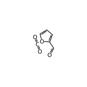 O=C=O.O=Cc1ccco1